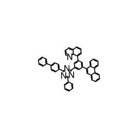 c1ccc(-c2ccc(-c3nc(-c4ccccc4)nc(-c4cc(-c5cc6ccccc6c6ccccc56)cc(-c5cccc6cccnc56)c4)n3)cc2)cc1